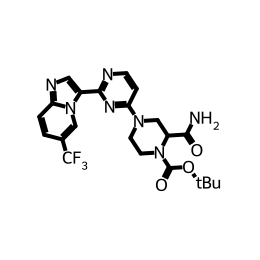 CC(C)(C)OC(=O)N1CCN(c2ccnc(-c3cnc4ccc(C(F)(F)F)cn34)n2)CC1C(N)=O